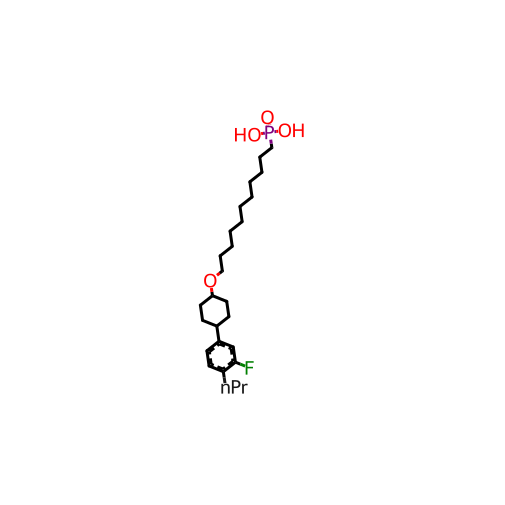 CCCc1ccc(C2CCC(OCCCCCCCCCCCP(=O)(O)O)CC2)cc1F